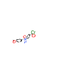 COc1ccc(C(=O)Nc2ccc(C(=O)Cl)cc2)cc1